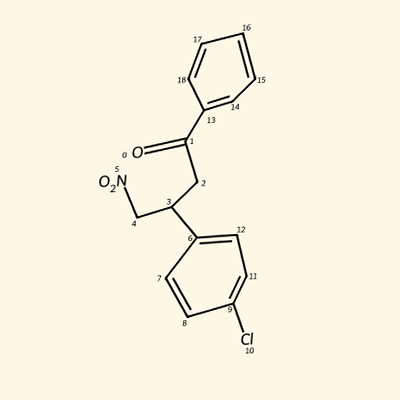 O=C(CC(C[N+](=O)[O-])c1ccc(Cl)cc1)c1ccccc1